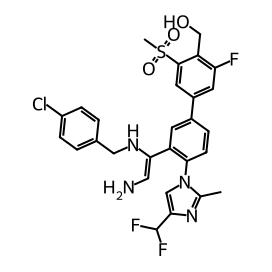 Cc1nc(C(F)F)cn1-c1ccc(-c2cc(F)c(CO)c(S(C)(=O)=O)c2)cc1/C(=C/N)NCc1ccc(Cl)cc1